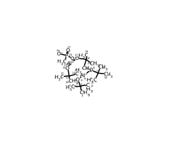 CC(C)(C)[O][Al+][O]C(C)(C)C.CC(C)(C)[O][Al+][O]C(C)(C)C.CP(=O)([O-])[O-]